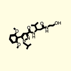 COc1cccc(OC)c1-c1cc(C(=O)NC(CC(=O)NCCO)C(C)C)nn1CC(C)C